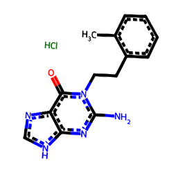 Cc1ccccc1CCn1c(N)nc2[nH]cnc2c1=O.Cl